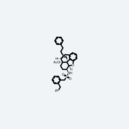 CC(=O)O[C@@]12CC[C@H](NS(=O)(=O)Cc3ccccc3CC(C)C)[C@@H]3Oc4cccc5c4[C@@]31CCN(CCc1ccccc1)[C@@H]2C5